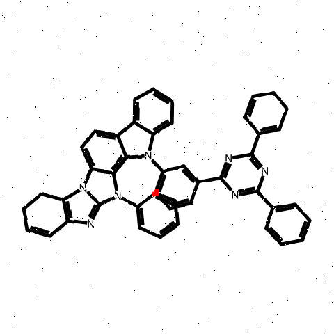 C1=CC(c2nc(-c3ccccc3)nc(-c3cccc(-n4c5ccccc5c5ccc6c(c54)n(-c4ccccc4)c4nc5c(n64)CCC=C5)c3)n2)=CCC1